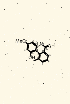 COc1ccc(-c2c(C)[c]ccc2C(=N)N)c(O)c1